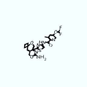 Cc1cc(OC(F)F)cnc1C(=O)Nc1csc(C23COC4(CCC4)CC2COC(N)=N3)n1